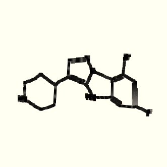 Fc1cc(Br)c2c(c1)[nH]c1c(C3CCNCC3)cnn12